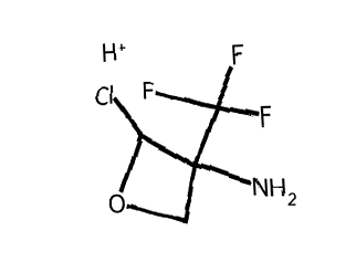 NC1(C(F)(F)F)COC1Cl.[H+]